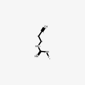 C#CCCNC(=N)NF